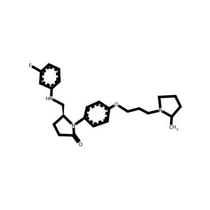 CC1CCCN1CCCOc1ccc(N2C(=O)CC[C@H]2CNc2cccc(F)c2)cc1